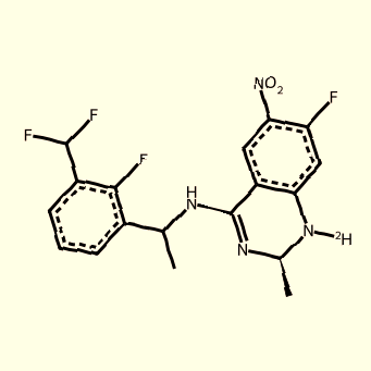 [2H]N1c2cc(F)c([N+](=O)[O-])cc2C(NC(C)c2cccc(C(F)F)c2F)=N[C@@H]1C